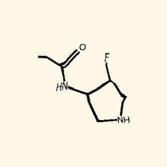 CC(=O)NC1CNCC1F